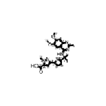 COc1cc2nc(C)nc(NC(C)(I)c3ccc(-c4cc(C(=O)O)n(C)n4)s3)c2cc1OC